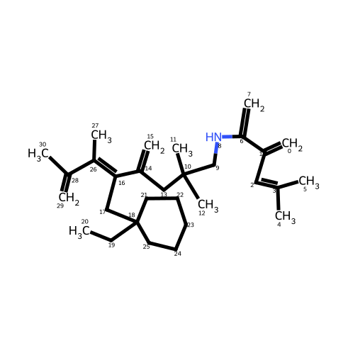 C=C(C=C(C)C)C(=C)NCC(C)(C)CC(=C)/C(CC1(CC)CCCCC1)=C(\C)C(=C)C